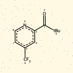 CC(C)(C)C(=O)c1cc(C(F)(F)F)ccn1